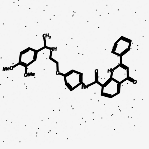 COc1ccc(C(C)NCCOc2ccc(NC(=O)c3cccc4c(=O)cc(-c5ccccc5)[nH]c34)cc2)cc1OC